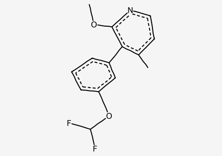 COc1nccc(C)c1-c1cccc(OC(F)F)c1